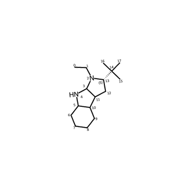 CCN1C2NC3CCCCC3C2C[C@H]1C(C)(C)C